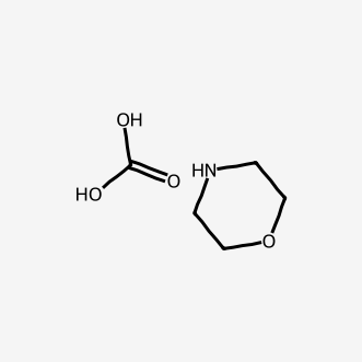 C1COCCN1.O=C(O)O